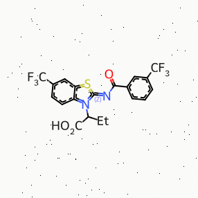 CCC(C(=O)O)n1/c(=N/C(=O)c2cccc(C(F)(F)F)c2)sc2cc(C(F)(F)F)ccc21